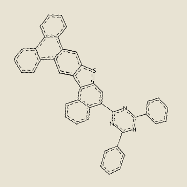 c1ccc(-c2nc(-c3ccccc3)nc(-c3cc4sc5cc6c7ccccc7c7ccccc7c6cc5c4c4ccccc34)n2)cc1